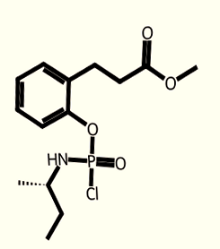 CC[C@H](C)NP(=O)(Cl)Oc1ccccc1CCC(=O)OC